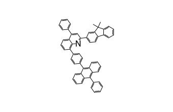 CC1(C)c2ccccc2-c2ccc(-c3cc(-c4ccccc4)c4cccc(-c5ccc(-c6c7ccccc7c(-c7ccccc7)c7ccccc67)cc5)c4n3)cc21